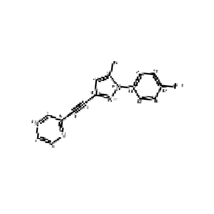 Cc1cc(C#Cc2cnccn2)nn1-c1ccc(F)cc1